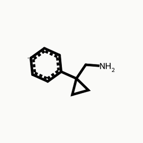 NCC1(c2cc[c]cc2)CC1